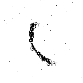 CCCC(=O)Oc1ccc(-c2ccc(OCC3CCC(CCCCC(=O)CCCC[C@H]4CC[C@H](COc5ccc(-c6ccc(OC(=O)CCC)cc6)nn5)CC4)CC3)nn2)cc1